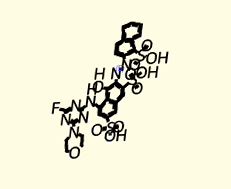 O=S(=O)(O)c1cc(Nc2nc(F)nc(N3CCOCC3)n2)c2c(O)c(/N=N/c3ccc4ccccc4c3S(=O)(=O)O)c(S(=O)(=O)O)cc2c1